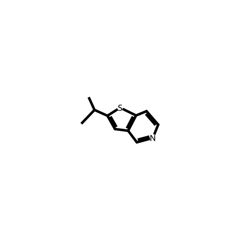 CC(C)c1cc2cnccc2s1